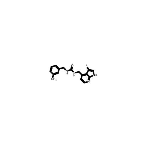 Nc1cccc(CNC(=O)NCc2ccnc3[nH]cc(F)c23)c1